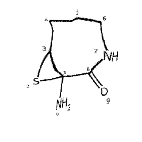 NC12SC1CCCNC2=O